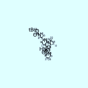 C[C@@H]1CN(c2nc(C3=CN(C(=O)OC(C)(C)C)CC3)ccc2C(=O)NS(=O)(=O)c2ccccn2)C(C)(C)C1